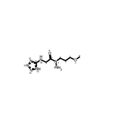 COCCCN(N)C(=O)CNc1nnn[nH]1